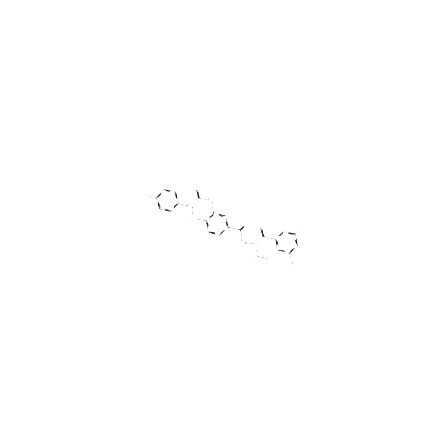 Cc1ccc(N2B(O)c3ccc(C(=O)NN(C(=O)c4cc(C)cc(C)c4)C(C)C)cc3NC2=O)cc1